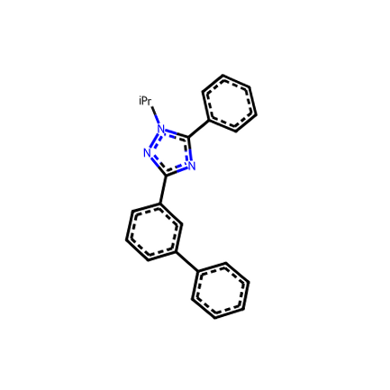 CC(C)n1nc(-c2cccc(-c3ccccc3)c2)nc1-c1ccccc1